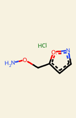 Cl.NOCc1ccno1